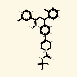 Cc1cc(C(CC(c2ccc(C3=CCN(C(=O)OC(C)(C)C)CC3)cc2)c2ccccc2C)=NO)ccn1